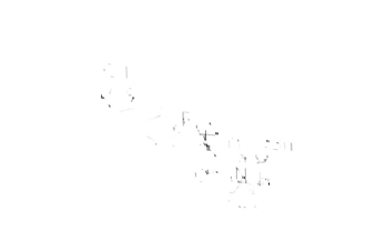 Cc1ncc(-c2ccc(C[C@@H](C#N)NC(=O)[C@@H]3C4=C[C@@H](CC4)N3C(=O)OC(C)(C)C)c(F)c2)s1